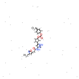 Cc1cc(CC(=O)Nc2cc(C3CCC(OC(=O)Oc4ccc([N+](=O)[O-])cc4)C3)[nH]n2)on1